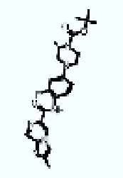 Cc1cn2cc(C(=O)Nc3ccc(N4CCN(C(=O)OC(C)(C)C)[C@H](C)C4)cc3F)ncc2n1